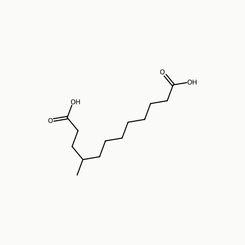 CC(CCCCCCCC(=O)O)CCC(=O)O